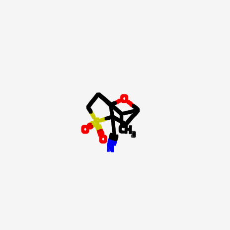 CC1C2CC3(C#N)C(O2)C1CS3(=O)=O